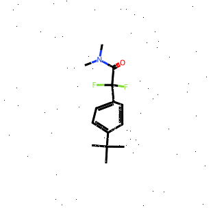 CN(C)C(=O)C(F)(F)c1ccc(C(C)(C)C)cc1